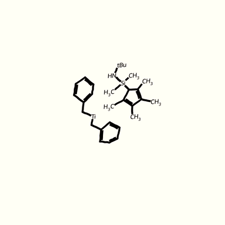 CC1=C(C)C([Si](C)(C)NC(C)(C)C)C(C)=C1C.c1ccc([CH2][Ti][CH2]c2ccccc2)cc1